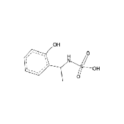 CC(NS(=O)(=O)O)c1ccccc1O